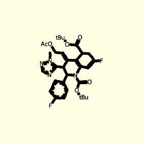 CC(=O)OCC=C1C2=C(C=C(F)CC2C(=O)OC(C)(C)C)N(C(=O)OC(C)(C)C)C(c2ccc(F)cc2)C1c1ncnn1C